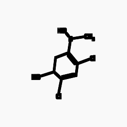 CB(O)C1=C(Cl)C=C(Cl)C(O)C1